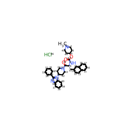 CN1CCC(OC(=O)N[C@H](Cc2ccc3ccccc3c2)C(=O)N2CCC(n3c(-c4ccccc4)nc4ccccc43)CC2)CC1.Cl